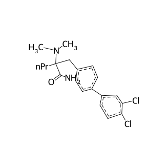 CCCC(Cc1ccc(-c2ccc(Cl)c(Cl)c2)cc1)(C(N)=O)N(C)C